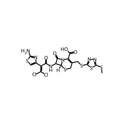 CSc1nnc(SCC2=C(C(=O)O)N3C(=O)C(NC(=O)C(=C(Cl)Cl)c4csc(N)n4)[C@H]3SC2)s1